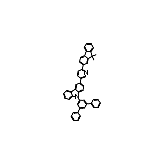 CC1(C)c2ccccc2-c2ccc(-c3ccc(-c4ccc5c(c4)c4ccccc4n5-c4cc(-c5ccccc5)cc(-c5ccccc5)c4)cn3)cc21